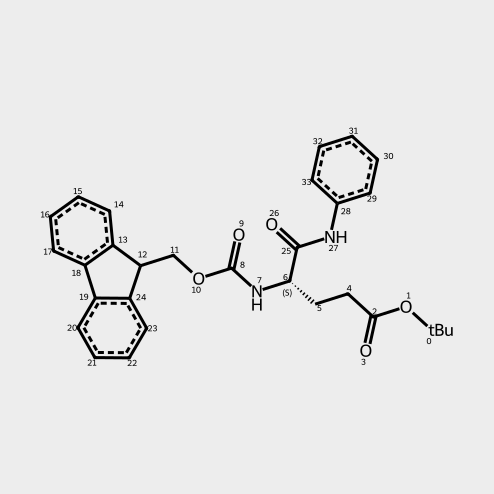 CC(C)(C)OC(=O)CC[C@H](NC(=O)OCC1c2ccccc2-c2ccccc21)C(=O)Nc1ccccc1